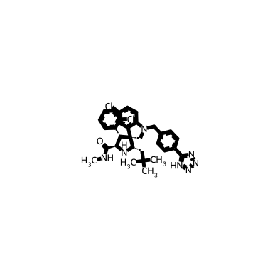 CNC(=O)[C@@H]1N[C@@H](CC(C)(C)C)[C@@]2(CN(Cc3ccc(-c4nnn[nH]4)cc3)c3ccc(Cl)cc32)[C@H]1c1ccccc1Cl